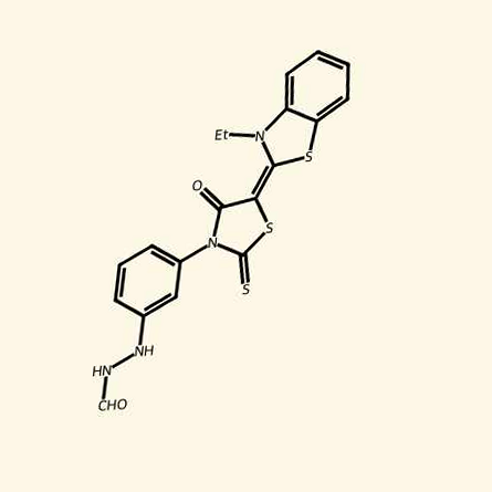 CCN1C(=C2SC(=S)N(c3cccc(NNC=O)c3)C2=O)Sc2ccccc21